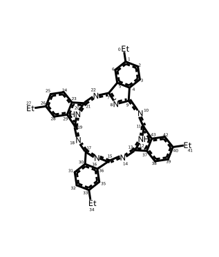 CCc1ccc2c(c1)-c1nc-2nc2[nH]c(nc3nc(nc4[nH]c(n1)c1ccc(CC)cc41)-c1ccc(CC)cc1-3)c1ccc(CC)cc21